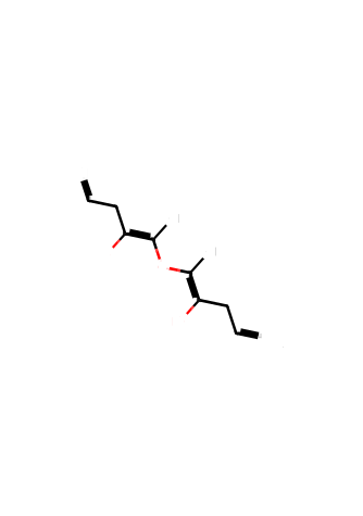 C=CC/C(O)=C(\C)O/C(C)=C(\O)CC=C